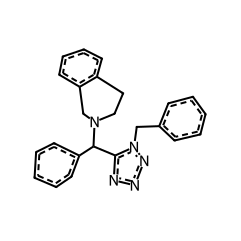 c1ccc(Cn2nnnc2C(c2ccccc2)N2CCc3ccccc3C2)cc1